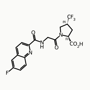 O=C(NCC(=O)N1C[C@H](C(F)(F)F)C[C@H]1C(=O)O)c1ccc2cc(F)ccc2n1